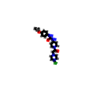 COc1ccc(NC(=O)NC2CCN(C(=O)CN3CCN(Br)CC3)CC2)cc1